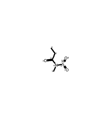 CCC(=O)N(C)[SH](=O)=O